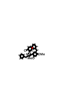 COc1cc(OC)c(-c2cc(Cc3ccccc3)nn2-c2ccccc2Cl)cc1Cc1ccccc1